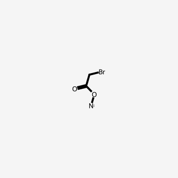 [N]OC(=O)CBr